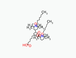 CCCCCCCCON1C(C)(C)CC(C(CCCCCCCC(=O)O)C(=O)O)CC1(C)C.CCCCCCCCON1C(C)(C)CCCC1(C)C